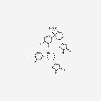 C[C@]1(c2ccc(F)c(F)c2)C[C@@H](c2cc(=O)[nH]o2)CCN1C(=O)O.O=c1cc([C@H]2CCN[C@@H](c3ccc(F)c(F)c3)C2)o[nH]1